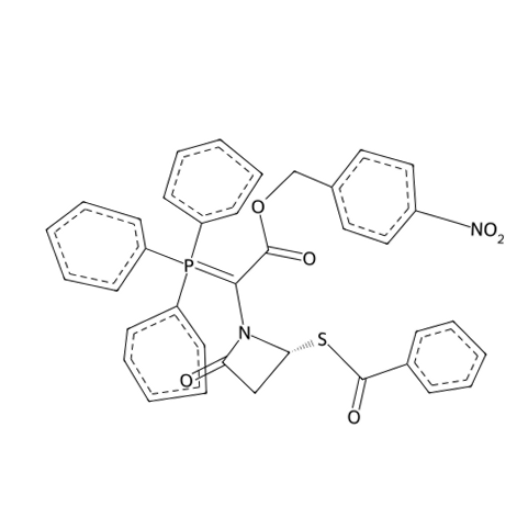 O=C(OCc1ccc([N+](=O)[O-])cc1)C(N1C(=O)C[C@H]1SC(=O)c1ccccc1)=P(c1ccccc1)(c1ccccc1)c1ccccc1